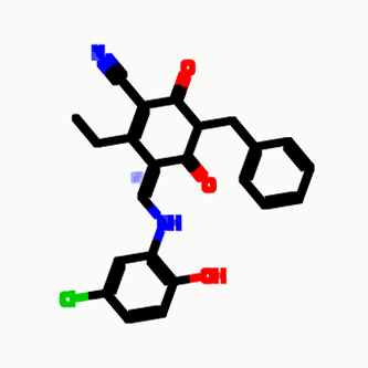 CCC1=C(C#N)C(=O)C(Cc2ccccc2)C(=O)/C1=C\Nc1cc(Cl)ccc1O